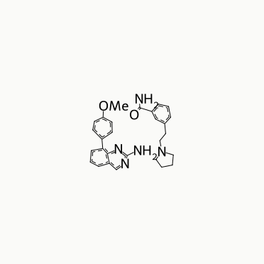 COc1ccc(-c2cccc3cnc(N)nc23)cc1.NC(=O)c1cccc(CCN2CCCC2)c1